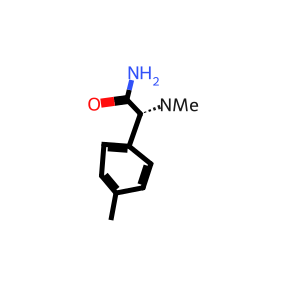 CN[C@@H](C(N)=O)c1ccc(C)cc1